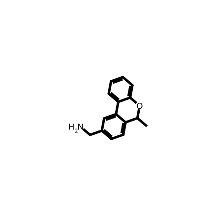 CC1Oc2ccccc2-c2cc(CN)ccc21